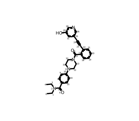 CCN(CC)C(=O)c1ccc(N2CCN(C(=O)c3ccccc3C#Cc3cncc(O)c3)CC2)cc1